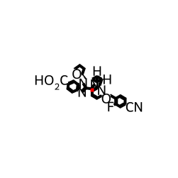 N#Cc1ccc(COc2cccc([C@@]34C5[C@H]3[C@H]4CN5Cc3nc4ccc(C(=O)O)cc4n3C[C@@H]3CCCO3)n2)c(F)c1